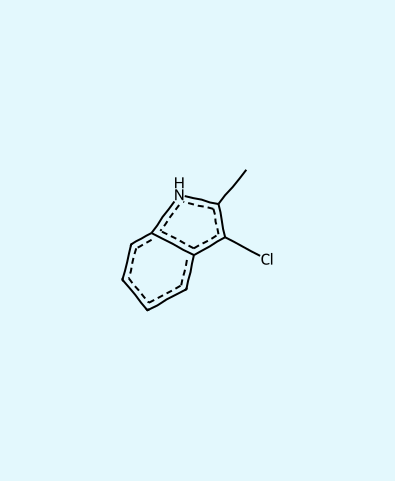 Cc1[nH]c2ccccc2c1Cl